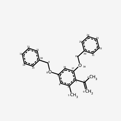 C=C(C)c1c(C)cc(OCc2ccccc2)cc1OCc1ccccc1